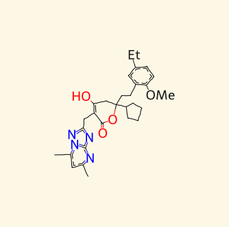 CCc1ccc(OC)c(CCC2(C3CCCC3)CC(O)=C(Cc3nc4nc(C)cc(C)n4n3)C(=O)O2)c1